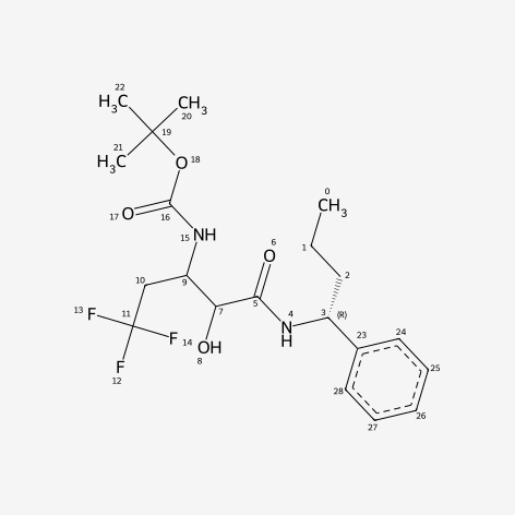 CCC[C@@H](NC(=O)C(O)C(CC(F)(F)F)NC(=O)OC(C)(C)C)c1ccccc1